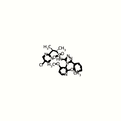 COc1ccnc(OC)c1-n1c(NS(=O)(=O)[C@@H](C)[C@H](C)c2ncc(Cl)cn2)nnc1-c1cccnc1